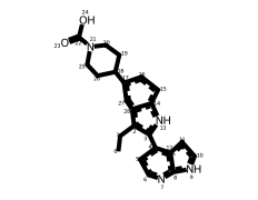 CCc1c(-c2ccnc3[nH]ccc23)[nH]c2ccc(C3CCN(C(=O)O)CC3)cc12